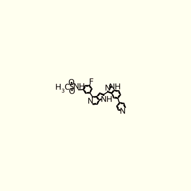 CS(=O)(=O)NCc1cc(F)cc(-c2nccc3[nH]c(-c4n[nH]c5ccc(-c6ccncc6)cc45)cc23)c1